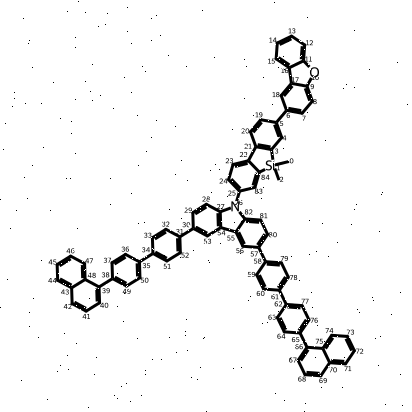 C[Si]1(C)c2cc(-c3ccc4oc5ccccc5c4c3)ccc2-c2ccc(-n3c4ccc(-c5ccc(-c6ccc(-c7cccc8ccccc78)cc6)cc5)cc4c4cc(-c5ccc(-c6ccc(-c7cccc8ccccc78)cc6)cc5)ccc43)cc21